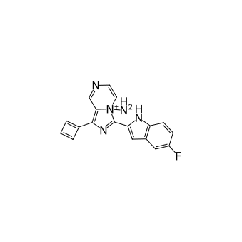 N[N+]12C=CN=CC1=C(C1=CC=C1)N=C2c1cc2cc(F)ccc2[nH]1